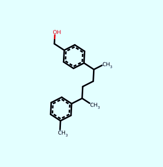 Cc1cccc(C(C)CCC(C)c2ccc(CO)cc2)c1